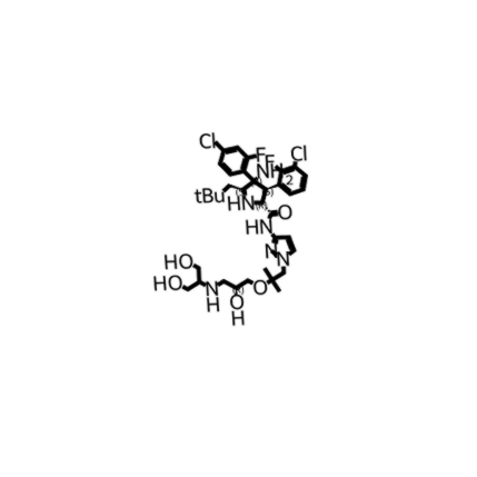 CC(C)(C)C[C@@H]1N[C@@H](C(=O)Nc2ccn(CC(C)(C)OC[C@H](O)CNC(CO)CO)n2)[C@H](c2cccc(Cl)c2F)[C@@]1(N)c1ccc(Cl)cc1F